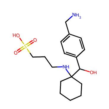 NCc1ccc(C(O)C2(NCCCS(=O)(=O)O)CCCCC2)cc1